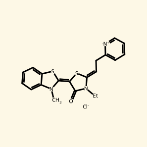 CCn1c(=CCC2=CC=CC=[N+]2)sc(=C2Sc3ccccc3N2C)c1=O.[Cl-]